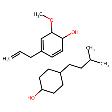 C=CCC1=CC(OC)C(O)C=C1.CC(C)CCC1CCC(O)CC1